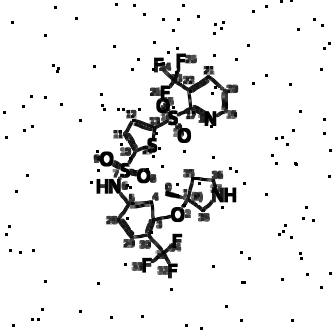 C[C@@]1(Oc2cc(NS(=O)(=O)c3ccc(S(=O)(=O)c4ncccc4C(F)(F)F)s3)ccc2C(F)(F)F)CCNC1